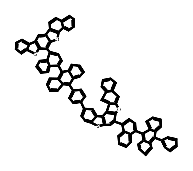 c1ccc(-c2c3ccccc3c(-c3ccc(-c4cc5sc6ccc(-c7ccc(-c8c9ccccc9c(-c9ccc(-c%10c%11oc%12c%13ccccc%13ccc%12c%11cc%11c%10sc%10ccccc%10%11)c%10ccccc9%10)c9ccccc89)cc7)cc6c5c5c4oc4cc6ccccc6cc45)c4ccccc34)c3ccccc23)cc1